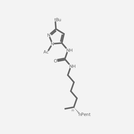 CCCCC[C@H](C)CCCCNC(=O)Nc1cc(C(C)(C)C)nn1C(C)=O